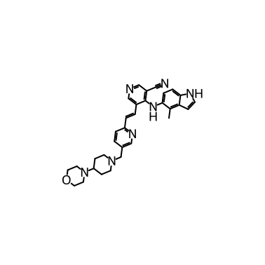 Cc1c(Nc2c(C#N)cncc2/C=C/c2ccc(CN3CCC(N4CCOCC4)CC3)cn2)ccc2[nH]ccc12